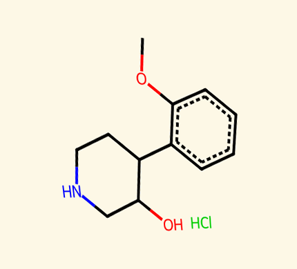 COc1ccccc1C1CCNCC1O.Cl